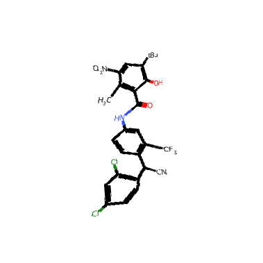 Cc1c([N+](=O)[O-])cc(C(C)(C)C)c(O)c1C(=O)Nc1ccc(C(C#N)c2ccc(Cl)cc2Cl)c(C(F)(F)F)c1